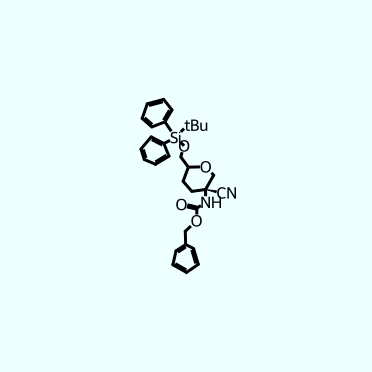 CC(C)(C)[Si](OCC1CC[C@@](C#N)(NC(=O)OCc2ccccc2)CO1)(c1ccccc1)c1ccccc1